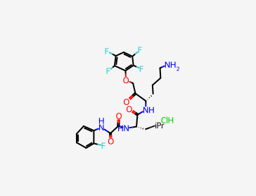 CC(C)C[C@H](NC(=O)C(=O)Nc1ccccc1F)C(=O)N[C@@H](CCCCN)C(=O)COc1c(F)c(F)cc(F)c1F.Cl